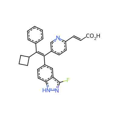 O=C(O)C=Cc1ccc(C(=C(c2ccccc2)C2CCC2)c2ccc3[nH]nc(F)c3c2)cn1